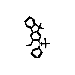 CCc1cc2c(cc1N(c1ccccc1)C(C)(C)C)C(C)(C)c1ccccc1-2